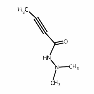 CC#CC(=O)NN(C)C